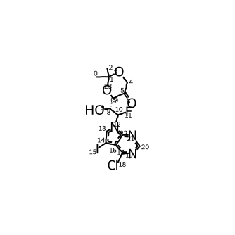 CC1(C)OCC(=O)[C@H](C(O)C(F)n2cc(I)c3c(Cl)ncnc32)O1